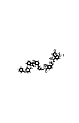 O=C(NCc1ccc(-c2cccc(C(O)(C(=O)OCC3CCN(Cc4ccccc4)CC3)c3ccccc3)c2)s1)c1ccc(CNCC(O)c2ccc(O)c3[nH]c(=O)ccc23)cc1Cl